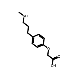 CNCCCc1ccc(OCC(=O)O)cc1